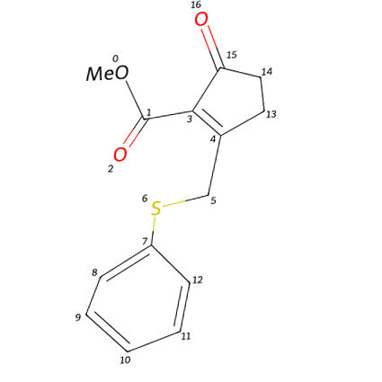 COC(=O)C1=C(CSc2ccccc2)CCC1=O